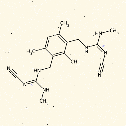 CN/C(=N/C#N)NCc1c(C)cc(C)c(CN/C(=N\C#N)NC)c1C